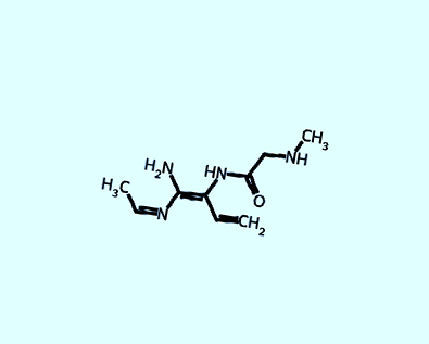 C=C/C(NC(=O)CNC)=C(N)\N=C/C